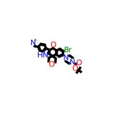 C/N=C\c1ccc2c3c([nH]c2c1)C1(CCOCC1)c1cc(N2CCN(C(=O)OC(C)(C)C)CC2)c(Br)cc1C3=O